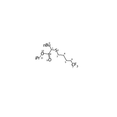 CCCCC(SCCCCC(F)(F)F)C(=O)OC(C)C